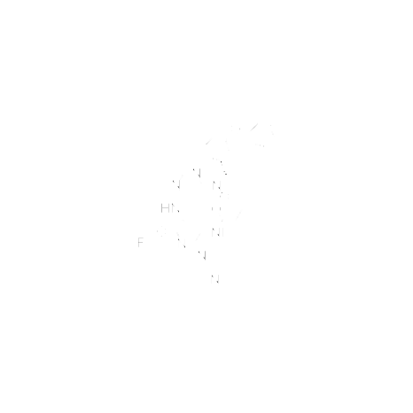 C=CC(=O)Nc1cc(Nc2cc(N3OCC[C@@H]3c3cccc(Oc4ccccc4)c3)ncn2)c(OC(F)F)nc1N1CCN(C)CC1